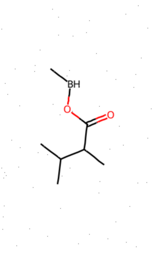 CBOC(=O)C(C)C(C)C